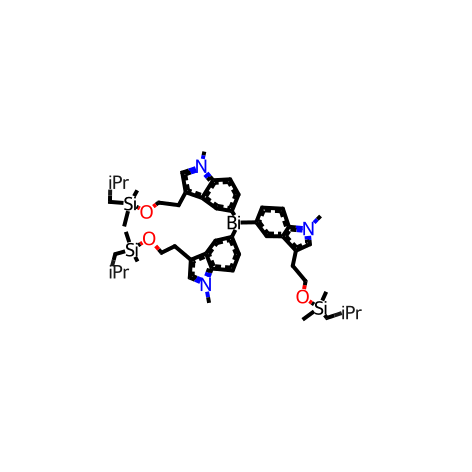 CC(C)C[Si](C)(C)OCCc1cn(C)c2cc[c]([Bi]([c]3ccc4c(c3)c(CCO[Si](C)(C)CC(C)C)cn4C)[c]3ccc4c(c3)c(CCO[Si](C)(C)CC(C)C)cn4C)cc12